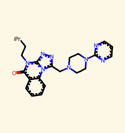 CC(C)CCn1c(=O)c2ccccc2n2c(CN3CCN(c4ncccn4)CC3)nnc12